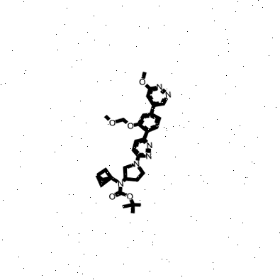 COCOc1cc(-c2cnnc(OC)c2)ccc1-c1ccc(N2CCC(N(C(=O)OC(C)(C)C)C34CC(C3)C4)C2)nn1